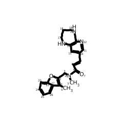 Cc1c(CN(C)C(=O)C=Cc2cnc3c(c2)NCCCN3)oc2ccccc12